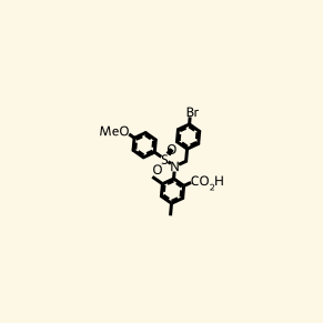 COc1ccc(S(=O)(=O)N(Cc2ccc(Br)cc2)c2c(C)cc(C)cc2C(=O)O)cc1